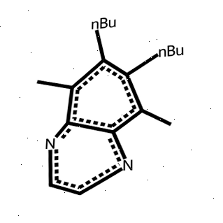 CCCCc1c(CCCC)c(C)c2nccnc2c1C